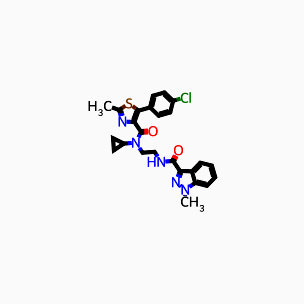 Cc1nc(C(=O)N(CCNC(=O)c2nn(C)c3ccccc23)C2CC2)c(-c2ccc(Cl)cc2)s1